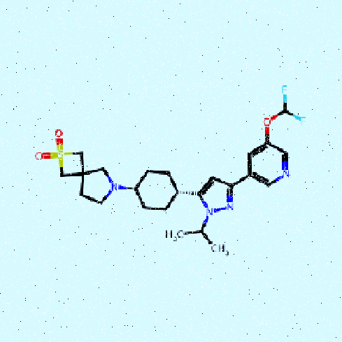 CC(C)n1nc(-c2cncc(OC(F)F)c2)cc1[C@H]1CC[C@H](N2CCC3(C2)CS(=O)(=O)C3)CC1